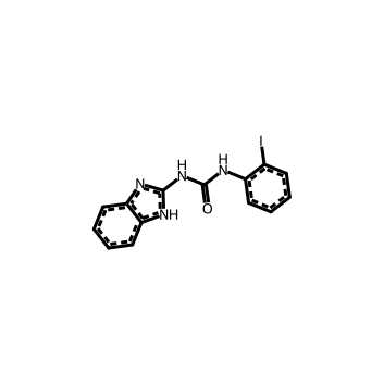 O=C(Nc1nc2ccccc2[nH]1)Nc1ccccc1I